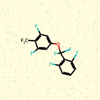 Fc1cc(OC(F)(F)c2c(F)cccc2F)cc(F)c1C(F)(F)F